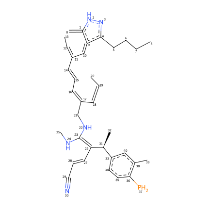 C=c1[nH]nc(CCCC)/c1=C/C(=C\C)/C=C/C=C(\C=C/C)CN/C(NC)=C(/C=C/C#N)[C@@H](C)c1ccc(P)c(C)c1